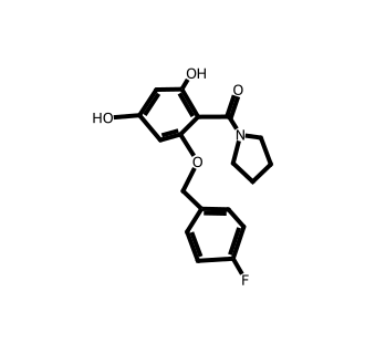 O=C(c1c(O)cc(O)cc1OCc1ccc(F)cc1)N1CCCC1